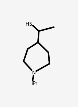 CC(S)C1CCN(C(C)C)CC1